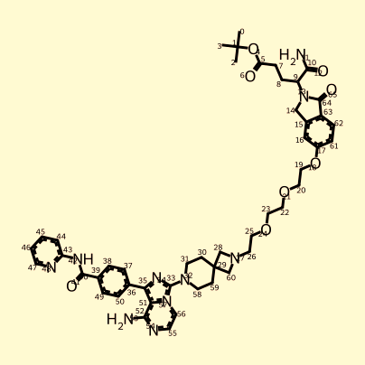 CC(C)(C)OC(=O)CCC(C(N)=O)N1Cc2cc(OCCOCCOCCN3CC4(CCN(c5nc(-c6ccc(C(=O)Nc7ccccn7)cc6)c6c(N)nccn56)CC4)C3)ccc2C1=O